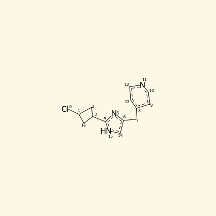 ClC1CC(c2nc(Cc3ccncc3)c[nH]2)C1